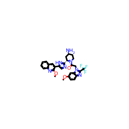 COc1ccc2nc(C(F)(F)F)n(CC(=O)N3CC[C@H](N)C[C@H]3c3ncc(-c4cc5ccccc5nc4OC)[nH]3)c2c1